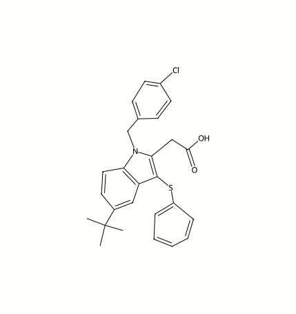 CC(C)(C)c1ccc2c(c1)c(Sc1ccccc1)c(CC(=O)O)n2Cc1ccc(Cl)cc1